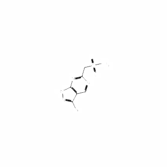 CS(=O)(=O)Cc1ncc2c(Br)n[nH]c2n1